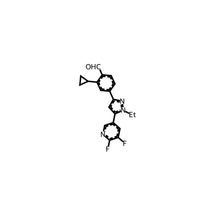 CCn1nc(-c2ccc(C=O)c(C3CC3)c2)cc1-c1cnc(F)c(F)c1